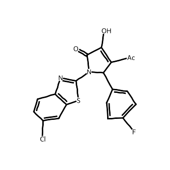 CC(=O)C1=C(O)C(=O)N(c2nc3ccc(Cl)cc3s2)C1c1ccc(F)cc1